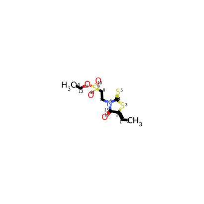 C/C=C1\SC(=S)N(CCS(=O)(=O)OCC)C1=O